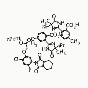 CCCCCOC(=O)COc1cc(N2C(=O)C3=C(CCCC3)C2=O)c(F)cc1Cl.Cc1ccc(C(=O)O)c(C2=NC(C)(C(C)C)C(=O)N2)c1.Cc1ccc(C2=NC(C)(C(C)C)C(=O)N2)c(C(=O)O)c1